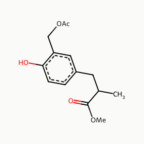 COC(=O)C(C)Cc1ccc(O)c(COC(C)=O)c1